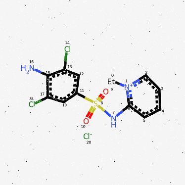 CC[n+]1ccccc1NS(=O)(=O)c1cc(Cl)c(N)c(Cl)c1.[Cl-]